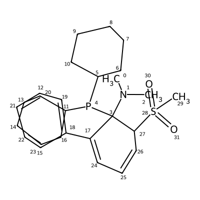 CN(C)C1(P(C2CCCCC2)C2CCCCC2)C(c2ccccc2)=CC=CC1S(C)(=O)=O